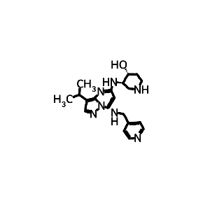 CC(C)c1cnn2c(NCc3ccncc3)cc(N[C@@H]3CNCC[C@H]3O)nc12